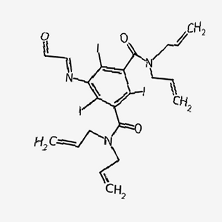 C=CCN(CC=C)C(=O)c1c(I)c(N=CC=O)c(I)c(C(=O)N(CC=C)CC=C)c1I